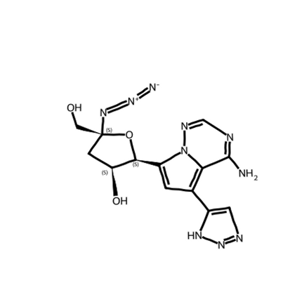 [N-]=[N+]=N[C@@]1(CO)C[C@H](O)[C@H](c2cc(-c3cnn[nH]3)c3c(N)ncnn23)O1